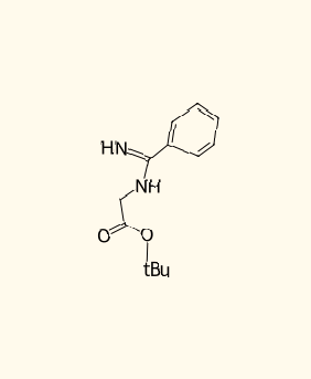 CC(C)(C)OC(=O)CNC(=N)c1ccccc1